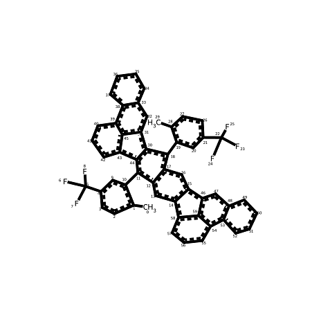 Cc1ccc(C(F)(F)F)cc1-c1c2cc3c(cc2c(-c2cc(C(F)(F)F)ccc2C)c2c4cc5ccccc5c5cccc(c12)c54)c1cc2ccccc2c2cccc3c21